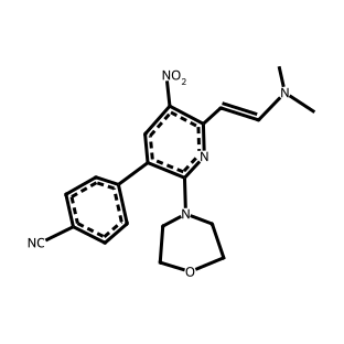 CN(C)C=Cc1nc(N2CCOCC2)c(-c2ccc(C#N)cc2)cc1[N+](=O)[O-]